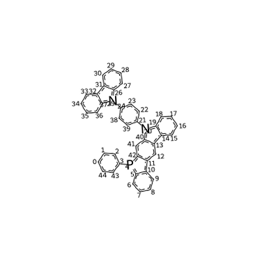 c1ccc(-p2c3ccccc3c3cc4c5ccccc5n(-c5ccc(-n6c7ccccc7c7ccccc76)cc5)c4cc32)cc1